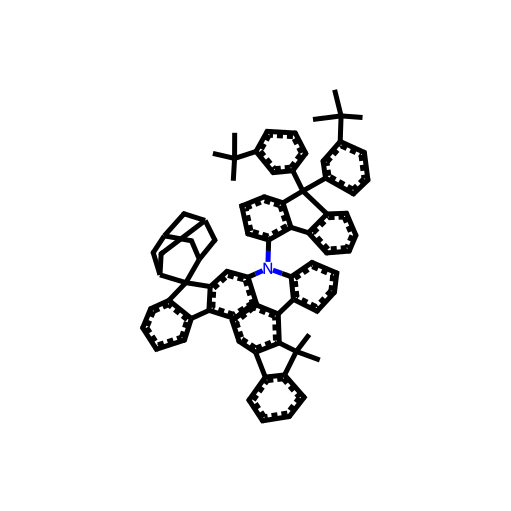 CC(C)(C)c1cccc(C2(c3cccc(C(C)(C)C)c3)c3ccccc3-c3c(N(c4ccc5c(c4)C4(c6ccccc6-5)C5CC6CC(C5)CC4C6)c4ccccc4-c4cccc5c4C(C)(C)c4ccccc4-5)cccc32)c1